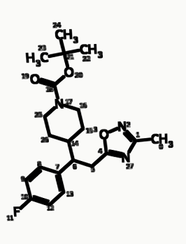 Cc1noc(CC(c2ccc(F)cc2)C2CCN(C(=O)OC(C)(C)C)CC2)n1